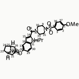 COc1ccc(S(=O)(=O)N2CCN(C(=O)c3cc4cc(O[C@H]5C[C@H]6CC[C@@H](C5)N6C(C)C)ccc4n3C(C)C)CC2)cc1